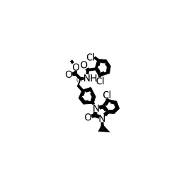 COC(=O)[C@H](Cc1ccc(-n2c(=O)n(C3CC3)c3cccc(Cl)c32)cc1)NC(=O)c1c(Cl)cccc1Cl